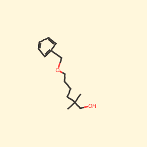 CC(C)(CO)CCCCOCc1ccccc1